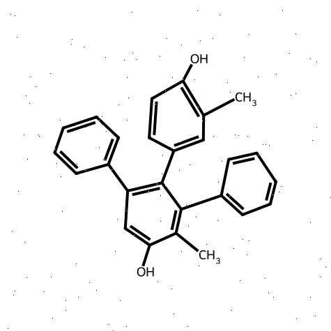 Cc1cc(-c2c(-c3ccccc3)cc(O)c(C)c2-c2ccccc2)ccc1O